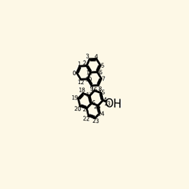 C1=Cc2cccc3cccc(c23)C1.OC1=CCc2cccc3cccc1c23